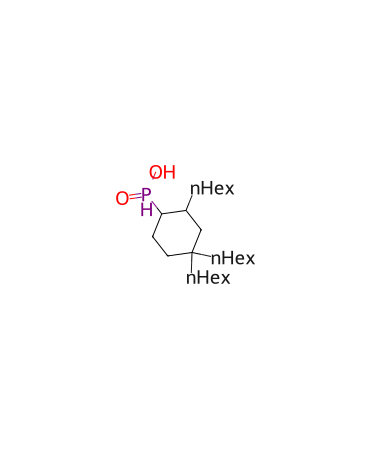 CCCCCCC1CC(CCCCCC)(CCCCCC)CCC1[PH](=O)O